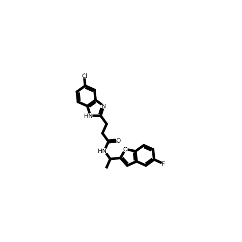 CC(NC(=O)CCc1nc2cc(Cl)ccc2[nH]1)c1cc2cc(F)ccc2o1